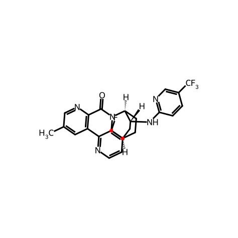 Cc1cnc(C(=O)N2C[C@@H]3CC[C@H]2[C@H](Nc2ccc(C(F)(F)F)cn2)C3)c(-c2ncccc2F)c1